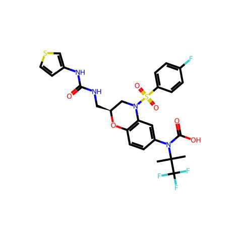 CC(C)(N(C(=O)O)c1ccc2c(c1)N(S(=O)(=O)c1ccc(F)cc1)C[C@H](CNC(=O)Nc1ccsc1)O2)C(F)(F)F